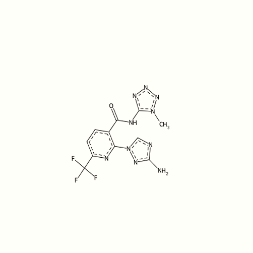 Cn1nnnc1NC(=O)c1ccc(C(F)(F)F)nc1-n1cnc(N)n1